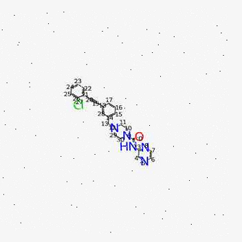 O=C(Nc1cnccn1)N1CCN(Cc2cccc(C#Cc3ccccc3Cl)c2)CC1